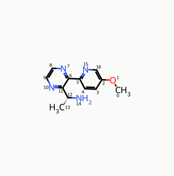 COc1ccc(-c2nccnc2[C@@H](C)N)nc1